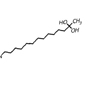 CC(O)(O)CCCCCCCCCCCCN=O